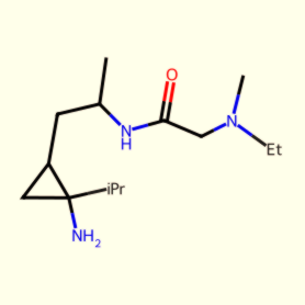 CCN(C)CC(=O)NC(C)CC1CC1(N)C(C)C